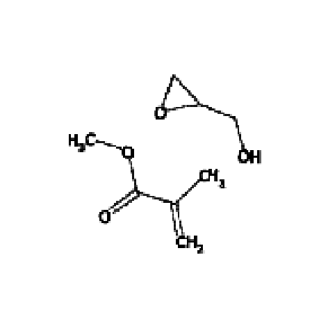 C=C(C)C(=O)OC.OCC1CO1